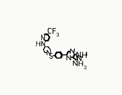 Nc1n[nH]c2ncc(-c3ccc(SN4CCC(Nc5ccc(C(F)(F)F)cn5)CC4)cc3)nc12